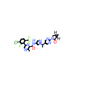 Cc1ncc(-c2c(C(F)F)ccc(Cl)c2F)nc1C(=O)Nc1cnn(C(C)c2cnc(N3C[C@H]4C[C@H]4C3=O)nc2)c1